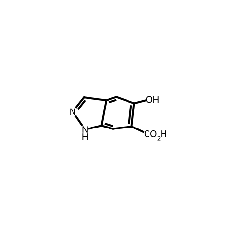 O=C(O)c1cc2[nH]ncc2cc1O